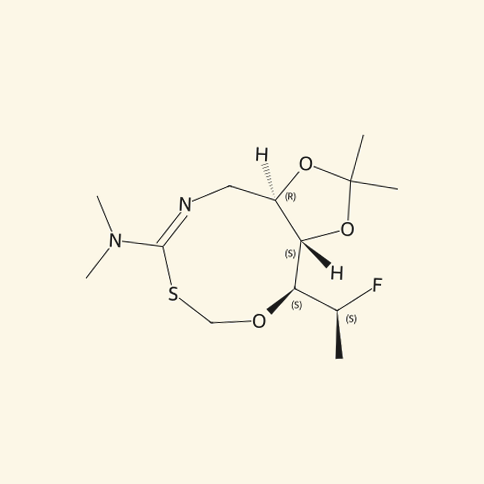 C[C@H](F)[C@H]1OCSC(N(C)C)=NC[C@H]2OC(C)(C)O[C@H]12